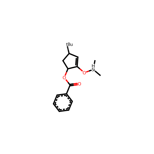 C[SiH](C)OC1=CC(C(C)(C)C)CC1OC(=O)c1ccccc1